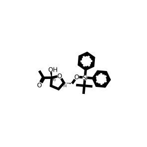 CC(=O)[C@@]1(O)CC[C@@H](CO[Si](c2ccccc2)(c2ccccc2)C(C)(C)C)O1